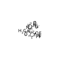 CC(=O)N(c1cccc(OC(F)(F)F)c1)c1cc([N+](=O)[O-])ccn1